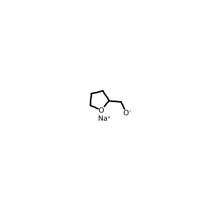 [Na+].[O-]CC1CCCO1